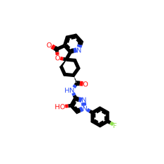 O=C1O[C@]2(CC[C@@H](C(=O)Nc3nn(-c4ccc(F)cc4)cc3O)CC2)c2ncccc21